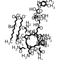 C/C1=C2N=C(/C=C3N=C(/C(C)=C4/[C@@H](CCC(N)=O)[C@](C)(CC(N)=O)[C@](C)([C@@H]5N=C1[C@](C)(CCC(=O)NCC(C)OP(=O)([O-])O[C@H]1[C@@H](O)[C@@H](n6cnc7cc(C)c(C)cc76)O[C@@H]1CO)[C@H]5CC(N)=O)[N]4[Co+][C]#N)[C@@](C)(CC(N)=O)[C@@H]\3CCC(N)=O)C(C)(C)[C@@H]/2CCC(N)=O.CCCCCCCCCCCC(=O)[O-].CCCCCCCCCCCC(=O)[O-].[Ba+2]